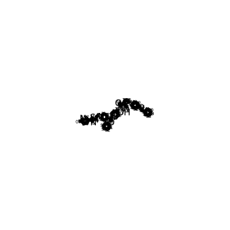 Cc1ccc(-c2ncc(CN3CC[C@@H](C(=O)N4CCC(O)(Cn5cnc6c(ccn6-c6ccc(OCc7ccccc7)cc6)c5=O)CC4)[C@H](c4ccccc4)C3)s2)cn1